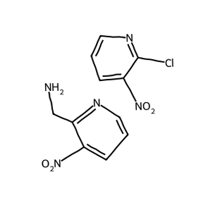 NCc1ncccc1[N+](=O)[O-].O=[N+]([O-])c1cccnc1Cl